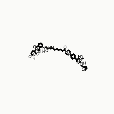 O=C(CNc1cccc2c1C(=O)N(C1CCC(=O)NC1=O)C2=O)NCCCCCCCC(=O)N1CCN(c2ccc(-c3cnc(NCc4ccco4)n4cnnc34)cc2)CC1